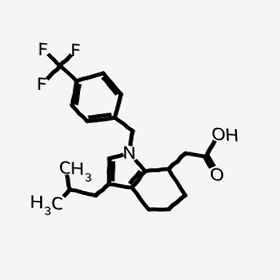 CC(C)Cc1cn(Cc2ccc(C(F)(F)F)cc2)c2c1CCCC2CC(=O)O